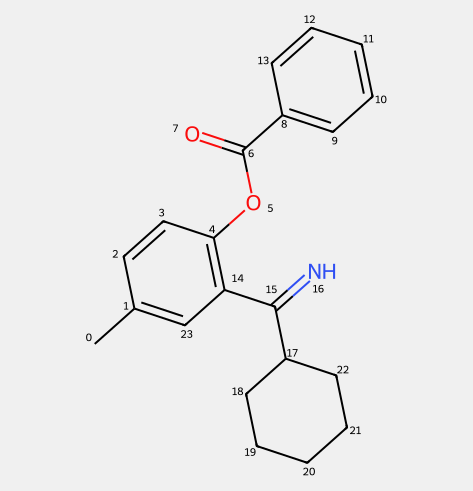 Cc1ccc(OC(=O)c2ccccc2)c(C(=N)C2CCCCC2)c1